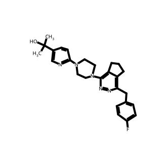 CC(C)(O)c1ccc(N2CCN(c3nnc(Cc4ccc(F)cc4)c4c3CCC4)CC2)nc1